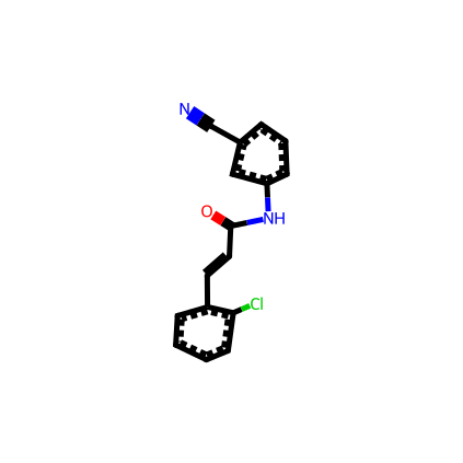 N#Cc1cccc(NC(=O)C=Cc2ccccc2Cl)c1